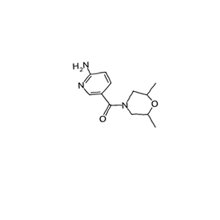 CC1CN(C(=O)c2ccc(N)nc2)CC(C)O1